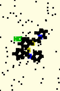 Cl.c1ccc(N=C(Sc2ccccc2SCCN2CCCC2)c2ccccc2)cc1